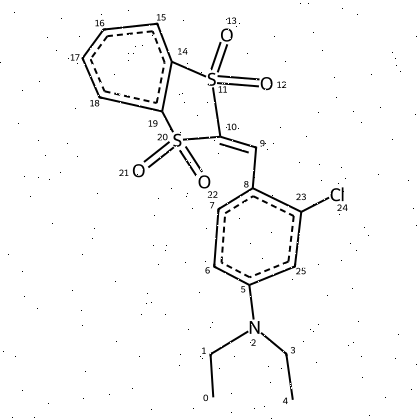 CCN(CC)c1ccc(C=C2S(=O)(=O)c3ccccc3S2(=O)=O)c(Cl)c1